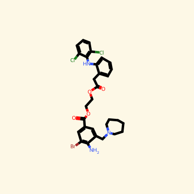 Nc1c(Br)cc(C(=O)OCCOC(=O)Cc2ccccc2Nc2c(Cl)cccc2Cl)cc1CN1CCCCCC1